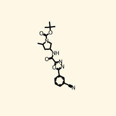 CC1CC(NC(=O)c2nnc(-c3cccc(C#N)c3)o2)CN1C(=O)OC(C)(C)C